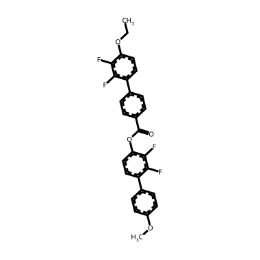 CCOc1ccc(-c2ccc(C(=O)Oc3ccc(-c4ccc(OC)cc4)c(F)c3F)cc2)c(F)c1F